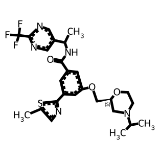 Cc1cnc(-c2cc(OC[C@@H]3CN(C(C)C)CCO3)cc(C(=O)NC(C)c3cnc(C(F)(F)F)nc3)c2)s1